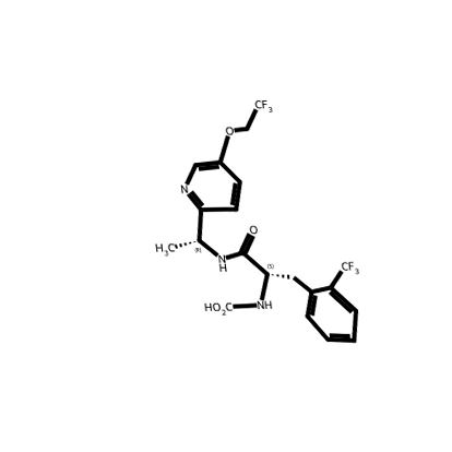 C[C@@H](NC(=O)[C@H](Cc1ccccc1C(F)(F)F)NC(=O)O)c1ccc(OCC(F)(F)F)cn1